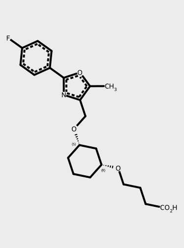 Cc1oc(-c2ccc(F)cc2)nc1CO[C@H]1CCC[C@@H](OCCCC(=O)O)C1